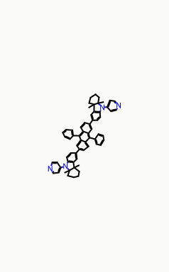 CC12CCCCC1(C)N(c1ccncc1)c1ccc(-c3ccc4c(-c5ccccc5)c5cc(-c6ccc7c(c6)C6(C)CCCCC6(C)N7c6ccncc6)ccc5c(-c5ccccc5)c4c3)cc12